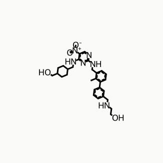 Cc1c(CNc2ncc([N+](=O)[O-])c(NCC3CCC(CO)CC3)n2)cccc1-c1cccc(CNCCO)c1